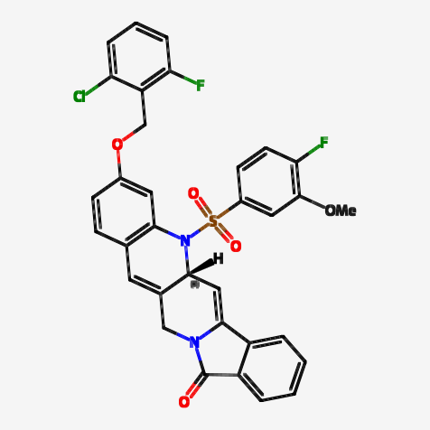 COc1cc(S(=O)(=O)N2c3cc(OCc4c(F)cccc4Cl)ccc3C=C3CN4C(=O)c5ccccc5C4=C[C@H]32)ccc1F